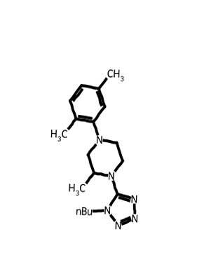 CCCCn1nnnc1N1CCN(c2cc(C)ccc2C)CC1C